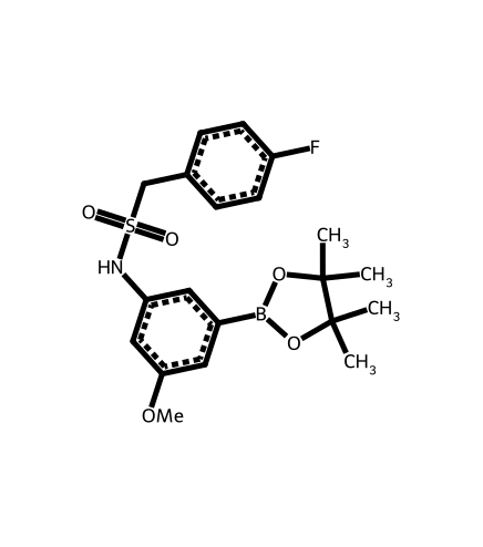 COc1cc(NS(=O)(=O)Cc2ccc(F)cc2)cc(B2OC(C)(C)C(C)(C)O2)c1